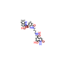 O=C(NCCCCNC[C@H](O)c1ccc(O)c2[nH]c(=O)ccc12)c1cccc(C(=O)NC2(C(=O)O)CCc3ccccc32)c1